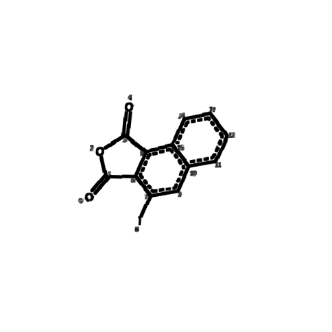 O=C1OC(=O)c2c1c(I)cc1ccccc21